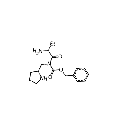 CCC(N)C(=O)N(CC1CCCN1)C(=O)OCc1ccccc1